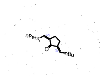 CCCC/C=C1\CC/C(=C/CCCCC)C1=O